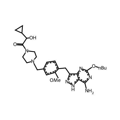 CCCCOc1nc(N)c2[nH]nc(Cc3ccc(CN4CCN(C(=O)C(O)C5CC5)CC4)cc3OC)c2n1